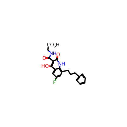 O=C(O)CNC(=O)c1c(O)c2cc(F)cc(CCCc3ccccc3)c2[nH]c1=O